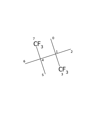 CC(C)(C(F)(F)F)C(C)(C)C(F)(F)F